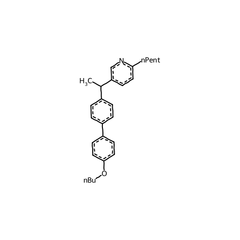 CCCCCc1ccc(C(C)c2ccc(-c3ccc(OCCCC)cc3)cc2)cn1